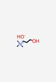 C[N+](C)(C)CCCO.[OH-]